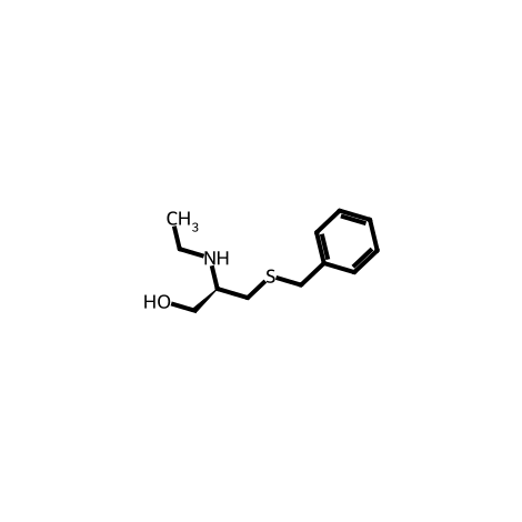 CCN[C@H](CO)CSCc1ccccc1